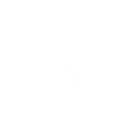 FC1CCSC1(F)F